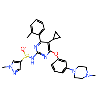 Cc1ccccc1-c1nc(N[S+]([O-])c2cnn(C)c2)nc(Oc2cccc(N3CCN(C)CC3)c2)c1C1CC1